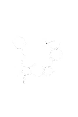 CC1(C)C(=O)N(Cc2nc(-c3ccc(F)c(C(F)(F)F)c3)no2)C(=O)N1CCN1CCOCC1